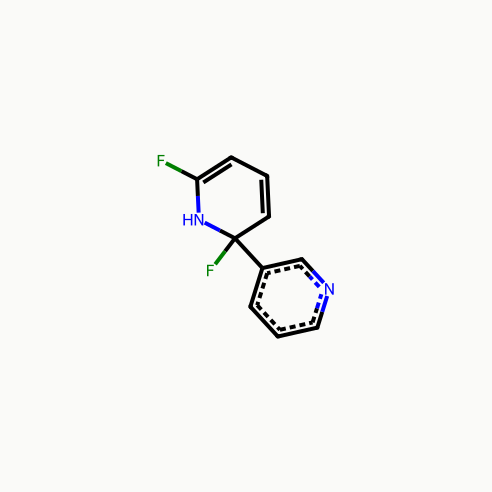 FC1=CC=CC(F)(c2cccnc2)N1